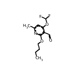 CCCCOc1nc(C)cc(OC(F)F)c1C=O